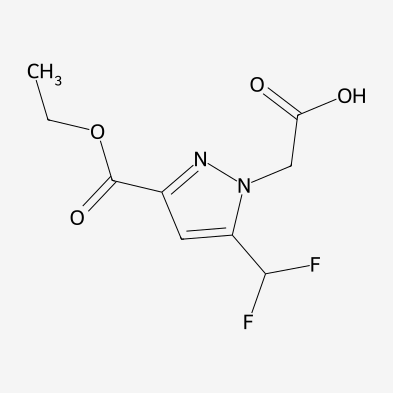 CCOC(=O)c1cc(C(F)F)n(CC(=O)O)n1